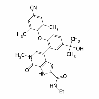 CCNC(=O)c1cc2c(-c3cc(C(C)(C)O)ccc3Oc3c(C)cc(C#N)cc3C)cn(C)c(=O)c2[nH]1